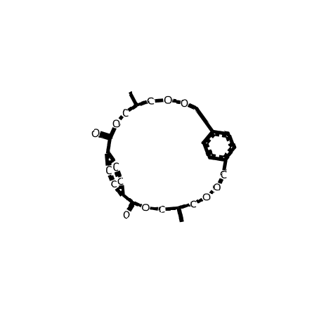 CC1COOCc2ccc(cc2)COOCC(C)COC(=O)c2ccc(cc2)C(=O)OC1